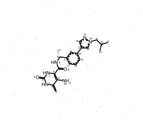 C=C1NC(=O)NC(C(=O)N[C@H](C)c2cccc(-c3cnn(CC(C)C)c3)c2)=C1N